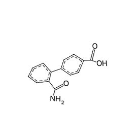 NC(=O)c1ccccc1-c1ccc(C(=O)O)cc1